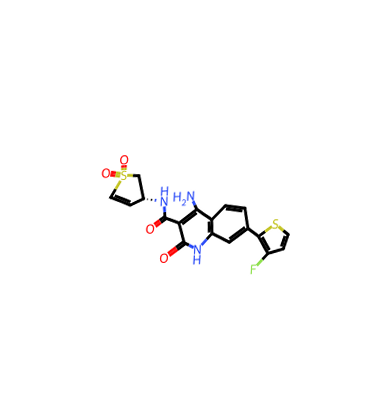 Nc1c(C(=O)N[C@@H]2C=CS(=O)(=O)C2)c(=O)[nH]c2cc(-c3sccc3F)ccc12